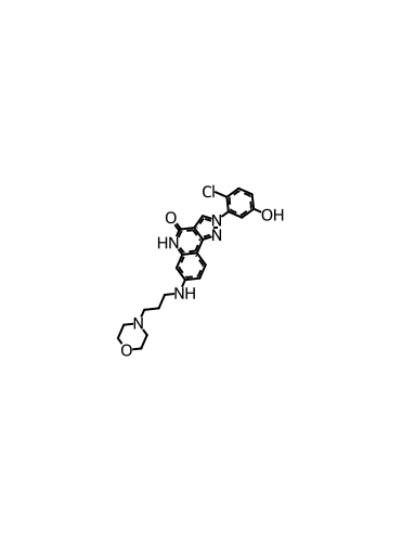 O=c1[nH]c2cc(NCCCN3CCOCC3)ccc2c2nn(-c3cc(O)ccc3Cl)cc12